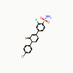 NS(=O)(=O)c1ccc(C2=CC(=S)C(c3ccc(Cl)cc3)C=C2)cc1F